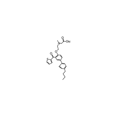 CCCCc1ccc(-c2ccc(OCCN(C)CC(=O)O)c(C(=O)c3cccs3)c2)cc1